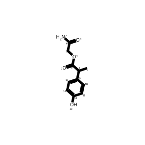 CC(C(=O)OCC(N)=O)c1ccc(O)cc1